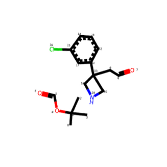 CC(C)(C)OC=O.O=CCC1(c2cccc(Cl)c2)CNC1